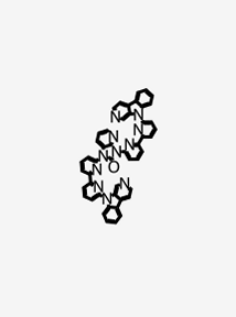 O=c1n(-c2cccc(-c3cccc(-n4c5ccccc5c5ccncc54)n3)n2)c2cccnc2n1-c1cccc(-c2cccc(-n3c4ccccc4c4ccncc43)n2)n1